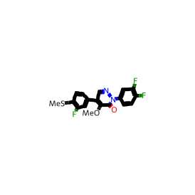 COc1c(-c2ccc(SC)c(F)c2)cnn(-c2ccc(F)c(F)c2)c1=O